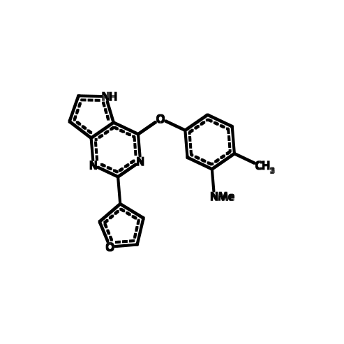 CNc1cc(Oc2nc(-c3ccoc3)nc3cc[nH]c23)ccc1C